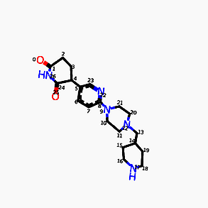 O=C1CCC(c2ccc(N3CCN(CC4CCNCC4)CC3)nc2)C(=O)N1